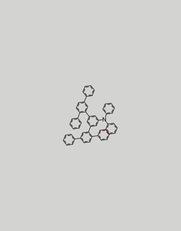 c1ccc(-c2ccc(-c3ccccc3)c(-c3cc(-c4cc(-c5ccccc5)ccc4-c4ccccc4)cc(N(c4ccccc4)c4ccccc4)c3)c2)cc1